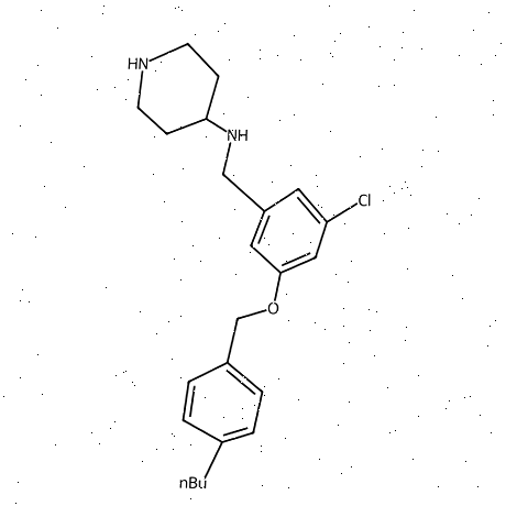 CCCCc1ccc(COc2cc(Cl)cc(CNC3CCNCC3)c2)cc1